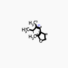 CC/C(C)=C\C1=C(C)OCC1